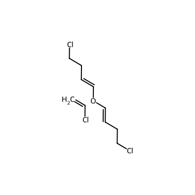 C=CCl.ClCCC=COC=CCCCl